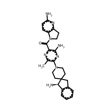 Cc1nc(C(=O)N2CCc3nc(N)ccc32)c(N)nc1N1CCC2(CC1)Cc1ccccc1[C@H]2N